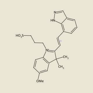 COc1ccc2c(c1)C(C)(C)C(/C=C/c1cccc3cn[nH]c13)=[N+]2CCCS(=O)(=O)O